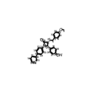 COc1ccc(CS[C@H]2C(=O)N(c3ccc(-c4cccnc4)cc3)[C@@H]2c2ccc(O)cc2)cc1